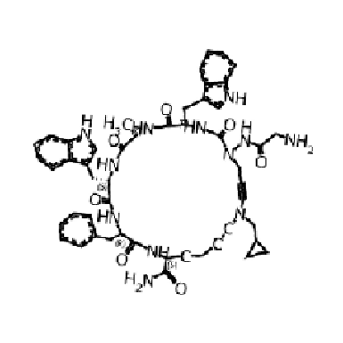 C[C@@H]1NC(=O)[C@@H](Cc2c[nH]c3ccccc23)NC(=O)N(NC(=O)CN)CC#CN(CC2CC2)CCCC[C@@H](C(N)=O)NC(=O)[C@@H](Cc2ccccc2)NC(=O)[C@H](Cc2c[nH]c3ccccc23)NC1=O